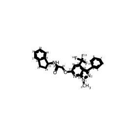 Cn1nc(-c2ccccc2)c2c(C(F)(F)F)cc(OCC(=O)NC3CCc4ccccc43)nc21